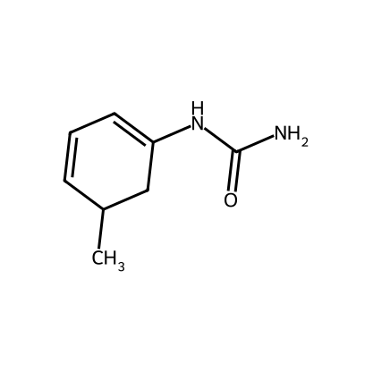 CC1C=CC=C(NC(N)=O)C1